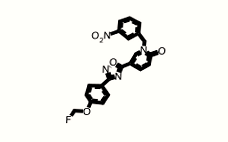 O=c1ccc(-c2nc(-c3ccc(OCF)cc3)no2)cn1Cc1cccc([N+](=O)[O-])c1